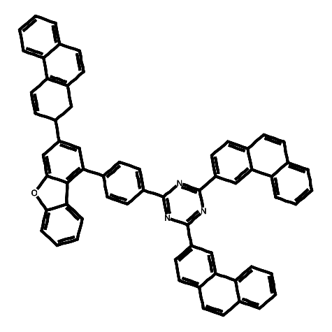 C1=CC(c2cc(-c3ccc(-c4nc(-c5ccc6ccc7ccccc7c6c5)nc(-c5ccc6ccc7ccccc7c6c5)n4)cc3)c3c(c2)oc2ccccc23)Cc2ccc3ccccc3c21